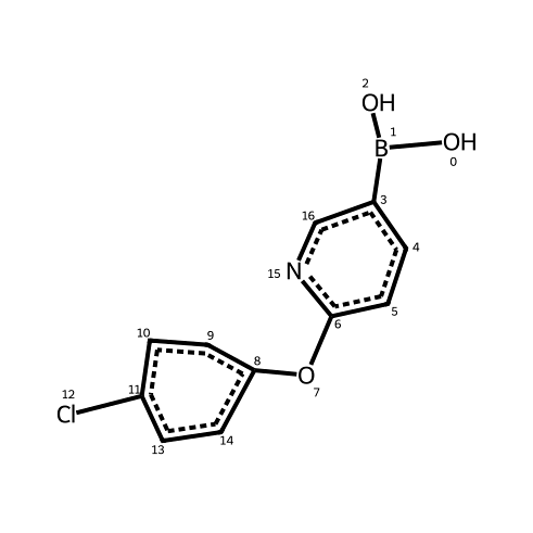 OB(O)c1ccc(Oc2ccc(Cl)cc2)nc1